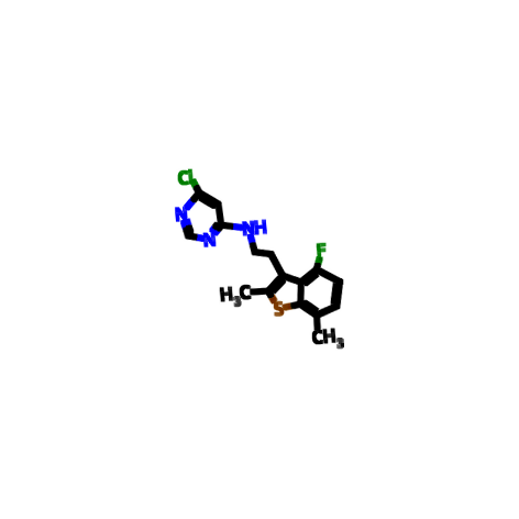 Cc1sc2c(C)ccc(F)c2c1CCNc1cc(Cl)ncn1